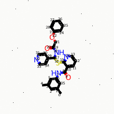 Cc1cc(C)cc(NC(=O)c2cccnc2SC(NC(=O)COc2ccccc2)c2ccncc2)c1